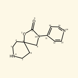 O=C1OC2(CCNCC2)CN1c1ccncc1